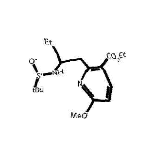 CCOC(=O)c1ccc(OC)nc1CC(CC)N[S+]([O-])C(C)(C)C